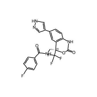 O=C1Nc2ccc(-c3cn[nH]c3)cc2[C@](CNC(=O)c2ccc(F)cc2)(C(F)(F)F)O1